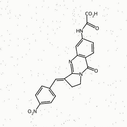 O=C(O)C(=O)Nc1ccc2c(=O)n3c(nc2c1)C(=Cc1ccc([N+](=O)[O-])cc1)CC3